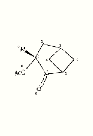 CC(=O)O[C@@H]1CC2CC(C2)C1=O